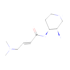 CN(C)C/C=C/C(=O)N[C@H]1CCNC[C@H]1N